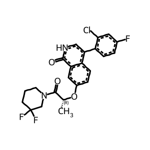 C[C@@H](Oc1ccc2c(-c3ccc(F)cc3Cl)c[nH]c(=O)c2c1)C(=O)N1CCCC(F)(F)C1